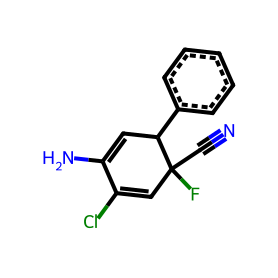 N#CC1(F)C=C(Cl)C(N)=CC1c1ccccc1